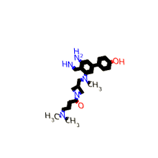 CN(C)C/C=C/C(=O)N1CC(CN(C)c2cc(-c3ccc(O)cc3)cc(N)c2C=N)C1